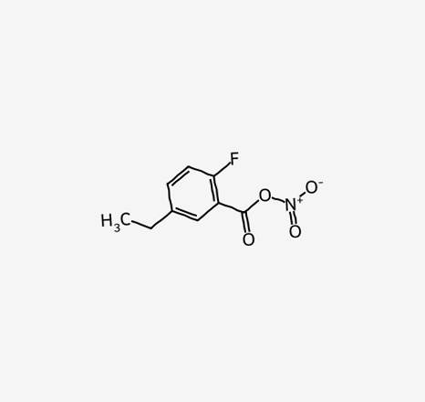 CCc1ccc(F)c(C(=O)O[N+](=O)[O-])c1